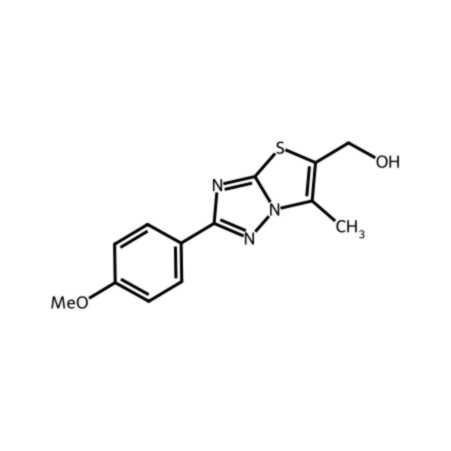 COc1ccc(-c2nc3sc(CO)c(C)n3n2)cc1